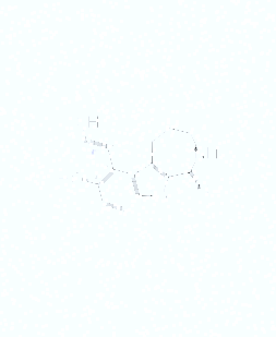 C/C=C/c1c(O)ccc2oc3c(c12)CCCNC3=O